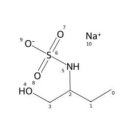 CCC(CO)NS(=O)(=O)[O-].[Na+]